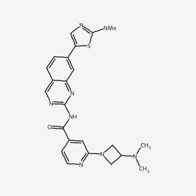 CNc1ncc(-c2ccc3cnc(NC(=O)c4ccnc(N5CC(N(C)C)C5)c4)nc3c2)s1